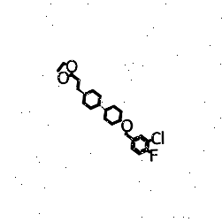 Fc1ccc(COC2CCC([C@H]3CC[C@H](CCC4OCCO4)CC3)CC2)cc1Cl